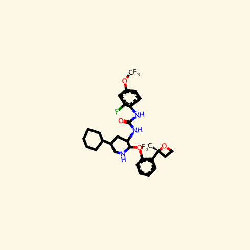 O=C(Nc1ccc(OC(F)(F)F)cc1F)NC1CC(C2CCCCC2)CNC1Oc1ccccc1[C@@]1(C(F)(F)F)CCO1